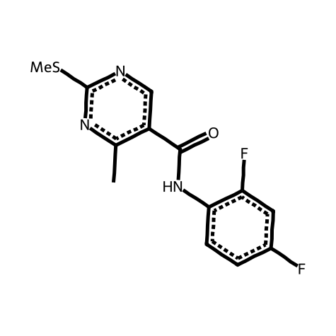 CSc1ncc(C(=O)Nc2ccc(F)cc2F)c(C)n1